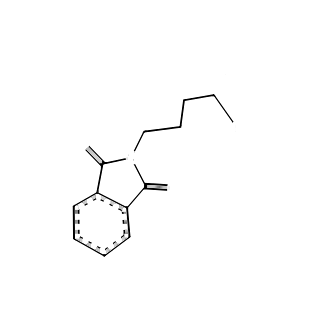 C[C@H](F)CCCN1C(=O)c2ccccc2C1=O